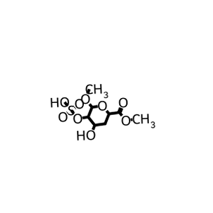 COC(=O)C1CC(O)C(OS(=O)(=O)O)C(OC)O1